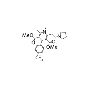 COC(=O)C1=C(C)N(C)C(CCN2CCCC2)=C(C(=O)OC)C1c1ccc(C(F)(F)F)cc1